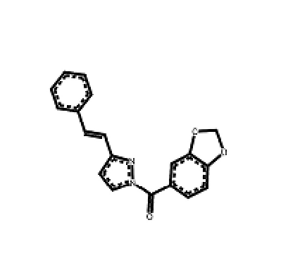 O=C(c1ccc2c(c1)OCO2)n1ccc(/C=C/c2ccccc2)n1